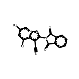 N#Cc1c(N2C(=O)c3ccccc3C2=O)nn2cc(O)cc(Cl)c12